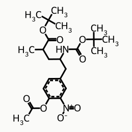 CC(=O)Oc1ccc(CC(CC(C)C(=O)OC(C)(C)C)NC(=O)OC(C)(C)C)cc1[N+](=O)[O-]